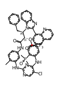 Cc1ccc(NC(=O)[C@@H](OC(=O)C(F)(F)F)[C@@H](Cc2ccccc2)n2c(-c3cccc4cccnc34)nc3ccccc32)cc1Nc1ncc(Cl)c(Nc2ccccc2P(C)(C)=O)n1